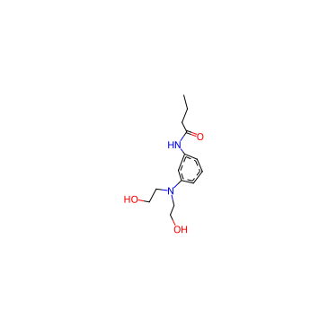 CCCC(=O)Nc1cccc(N(CCO)CCO)c1